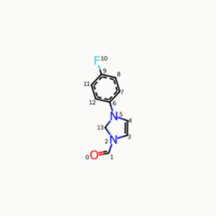 O=CN1C=CN(c2ccc(F)cc2)C1